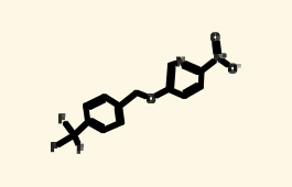 O=[N+]([O-])c1ccc(OCc2ccc(C(F)(F)F)cc2)cn1